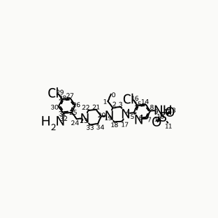 CCC1CN(c2ncc(NS(C)(=O)=O)cc2Cl)CCN1C1CCN(Cc2ccc(Cl)cc2N)CC1